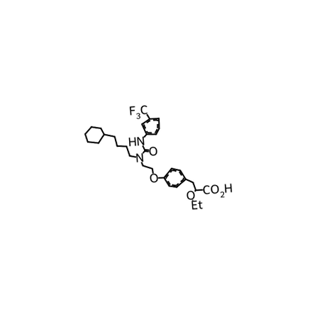 CCOC(Cc1ccc(OCCN(CCCCC2CCCCC2)C(=O)Nc2cccc(C(F)(F)F)c2)cc1)C(=O)O